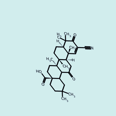 CC1(C)CC[C@]2(C(=O)O)CC[C@]3(C)C(C(=O)C[C@@H]4[C@@]5(C)C=C(C#N)C(=O)C(C)(C)[C@@H]5CC[C@]43C)C2C1